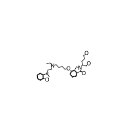 CCN(CCCCOc1cccc2c1CN(C(C=O)CCC=O)C2=O)CC[C@H]1COc2ccccc21